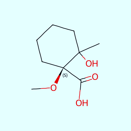 CO[C@@]1(C(=O)O)CCCCC1(C)O